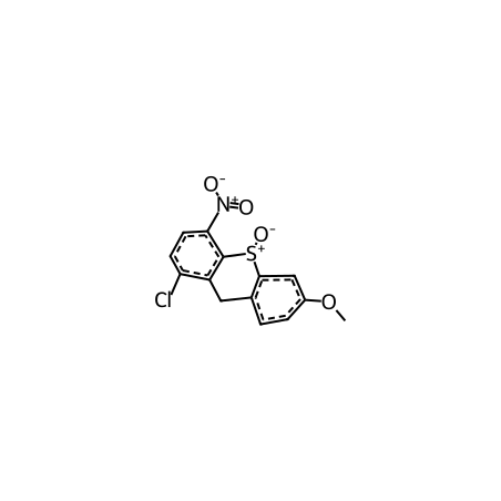 COc1ccc2c(c1)[S+]([O-])c1c([N+](=O)[O-])ccc(Cl)c1C2